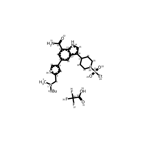 CCCCN(C)Cc1cc(-c2cc(C(N)=O)c3[nH]cc(C4CCN(S(=O)(=O)CC)CC4)c3c2)cs1.O=C(O)C(F)(F)F